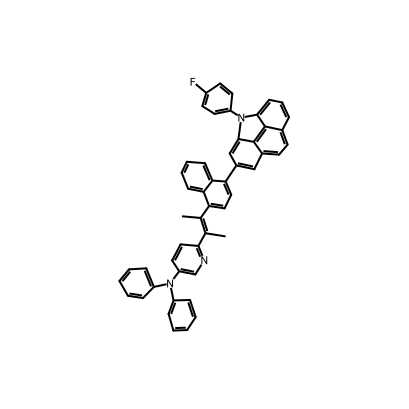 C/C(=C(/C)c1ccc(-c2cc3ccc4cccc5c4c3c(c2)n5-c2ccc(F)cc2)c2ccccc12)c1ccc(N(c2ccccc2)c2ccccc2)cn1